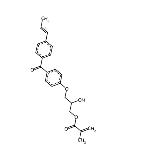 C=C(C)C(=O)OCC(O)COc1ccc(C(=O)c2ccc(/C=C/C)cc2)cc1